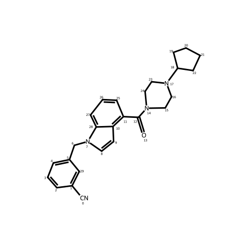 N#Cc1cccc(Cn2ccc3c(C(=O)N4CCN(C5CCCC5)CC4)cccc32)c1